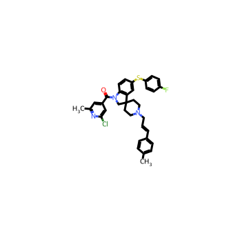 Cc1ccc(/C=C/CN2CCC3(CC2)CN(C(=O)c2cc(C)nc(Cl)c2)c2ccc(Sc4ccc(F)cc4)cc23)cc1